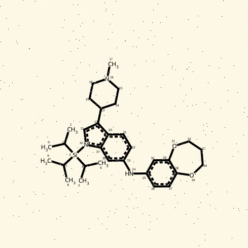 CC(C)[Si](C(C)C)(C(C)C)n1cc(C2CCN(C)CC2)c2ccc(Nc3ccc4c(c3)OCCCO4)cc21